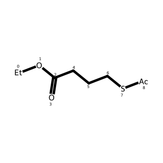 CCOC(=O)CCCSC(C)=O